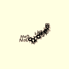 COc1cc2ncnc(Cc3cccc(NC(=O)Nc4cc(C(C)(CF)CF)on4)c3)c2cc1OC